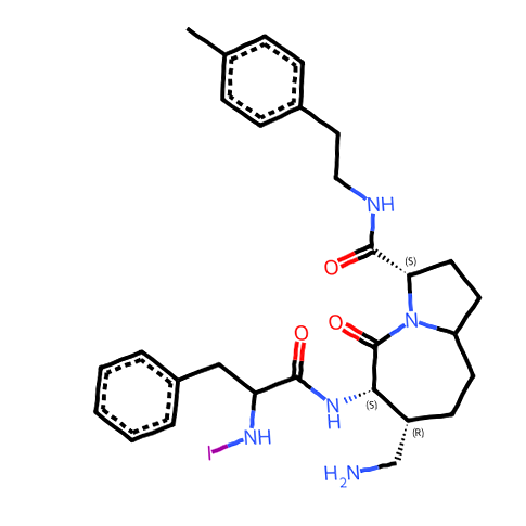 Cc1ccc(CCNC(=O)[C@@H]2CCC3CC[C@H](CN)[C@H](NC(=O)C(Cc4ccccc4)NI)C(=O)N32)cc1